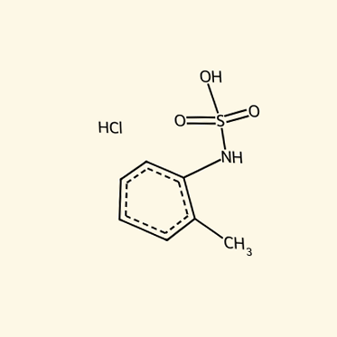 Cc1ccccc1NS(=O)(=O)O.Cl